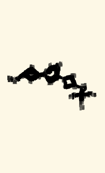 NC12CC(n3cnc([C@H]4C[C@@H](OC(F)(F)F)C4)c3)(C1)C2